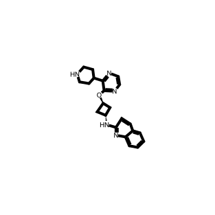 c1ccc2nc(N[C@H]3C[C@H](Oc4nccnc4C4CCNCC4)C3)ccc2c1